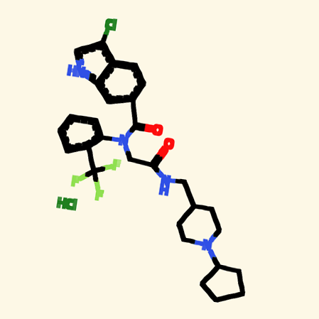 Cl.O=C(CN(C(=O)c1ccc2c(Cl)c[nH]c2c1)c1ccccc1C(F)(F)F)NCC1CCN(C2CCCC2)CC1